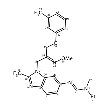 CCN(C)C=Nc1ccc2nc(C(F)(F)F)n(CC(COc3cccc(C(F)(F)F)c3)=NOC)c2c1